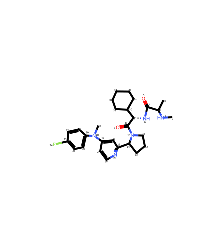 CNC(C)C(=O)N[C@H](C(=O)N1CCCC1c1cc(N(C)c2ccc(F)cc2)ccn1)C1CCCCC1